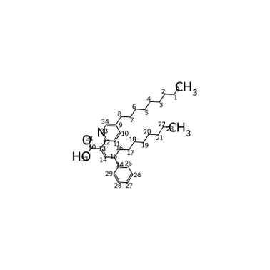 CCCCCCCCCc1ccc(/C(=C\C(CCCCCCCC)c2ccccc2)C(=O)O)nc1